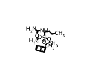 CCCC(NC(N)=O)[Si](OC)(OC)OC.c1cc2ccc1-2